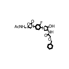 CC(=O)NC[C@H]1CN(c2ccc(N3C[C@@H](O)[C@H](NC(=O)COCc4ccccc4)C3)c(F)c2)C(=O)O1